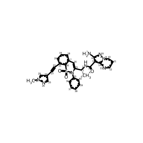 C[C@@H](NC(=O)c1c(N)nn2cccnc12)C1=Cc2cccc(C#Cc3cnn(C)c3)c2S(=O)(=O)N1c1ccccc1